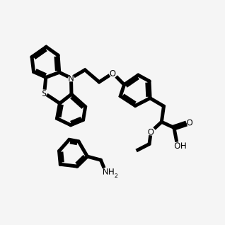 CCOC(Cc1ccc(OCCN2c3ccccc3Sc3ccccc32)cc1)C(=O)O.NCc1ccccc1